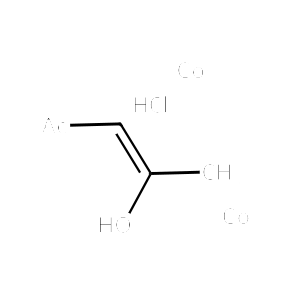 CC(=O)/C=C(/C)O.Cl.[Co].[Co]